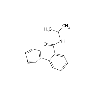 CC(C)NC(=O)c1ccccc1-c1cccnc1